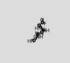 COc1cc(F)cc(-c2cccc3[nH]c(-c4n[nH]c5cnc(-c6cncc(NC(=O)CC7CCNCC7)c6)cc45)cc23)c1